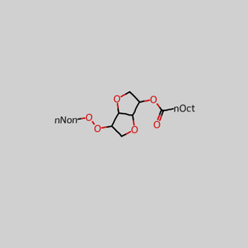 CCCCCCCCCOOC1COC2C(OC(=O)CCCCCCCC)COC12